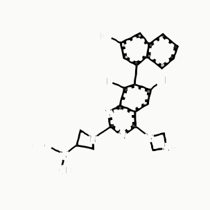 CN(C)C1CN(c2nc(N3CNC3)c3cc(Cl)c(-c4cc(O)cc5ccccc45)c(F)c3n2)C1